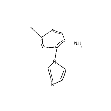 Cc1cccc(-n2ccnc2)c1.N